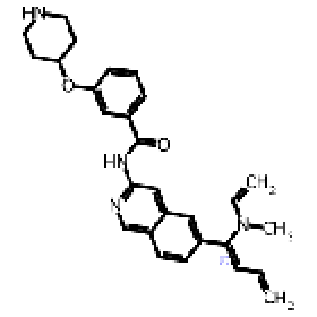 C=C/C=C(/c1ccc2cnc(NC(=O)c3cccc(OC4CCNCC4)c3)cc2c1)N(C)C=C